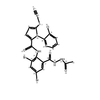 [C-]#[N+]Sc1ccc(C(=O)Nc2c(Br)cc(Br)cc2C(=O)NNC(C)=O)n1-c1ncccc1Cl